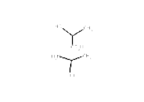 CC(N)O.CC(O)C(=O)O